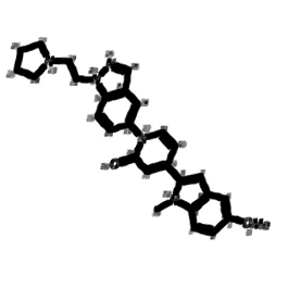 COc1ccc2c(c1)cc(-c1ccn(-c3ccc4c(cnn4CCN4CCCC4)c3)c(=O)c1)n2C